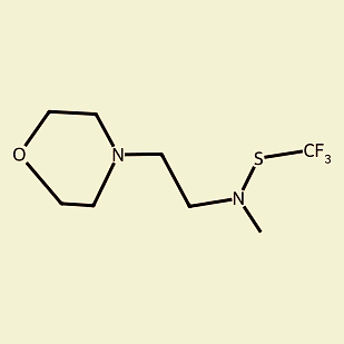 CN(CCN1CCOCC1)SC(F)(F)F